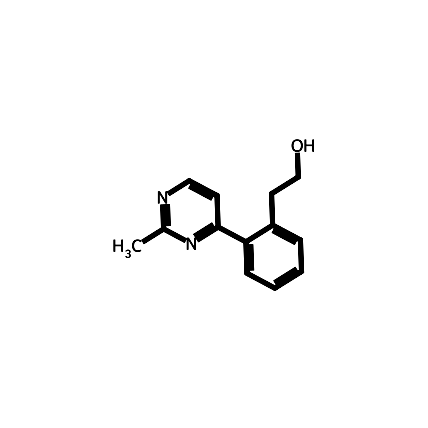 Cc1nccc(-c2ccccc2CCO)n1